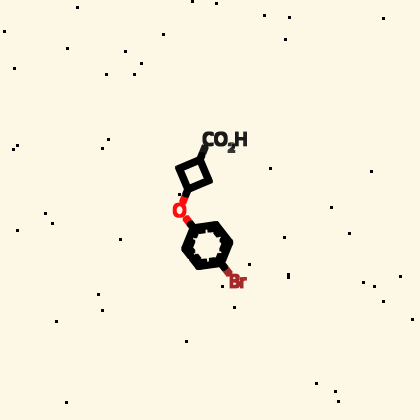 O=C(O)C1CC(Oc2ccc(Br)cc2)C1